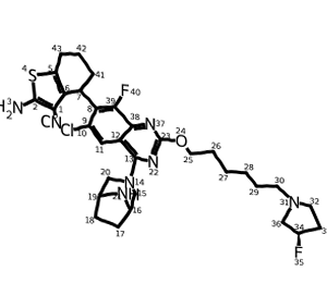 N#Cc1c(N)sc2c1C(c1c(Cl)cc3c(N4CC5CCC(C4)N5)nc(OCCCCCCN4CC[C@@H](F)C4)nc3c1F)CCC2